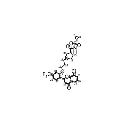 O=C(NS(=O)(=O)C1CC1)C1CCN(CCCOc2cc(C(F)(F)F)ccc2-c2cc(=O)c3cccc(Cl)c3o2)C1